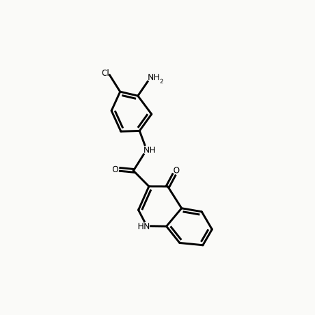 Nc1cc(NC(=O)c2c[nH]c3ccccc3c2=O)ccc1Cl